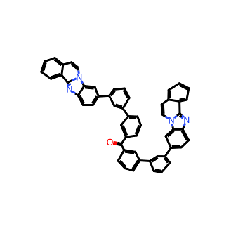 O=C(c1cccc(-c2cccc(-c3ccc4nc5c6ccccc6ccn5c4c3)c2)c1)c1cccc(-c2cccc(-c3ccc4nc5c6ccccc6ccn5c4c3)c2)c1